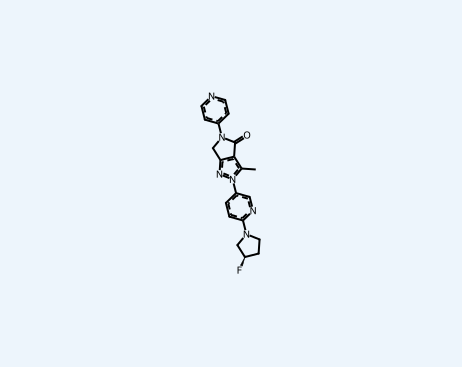 Cc1c2c(nn1-c1ccc(N3CC[C@@H](F)C3)nc1)CN(c1ccncc1)C2=O